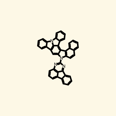 c1ccc2c(c1)-c1cccc3nc(-n4c5ccc6ccccc6c5c5c6c7ccccc7n7c8ccccc8c(cc54)c67)nc-2c13